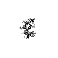 CC(C)C[C@H](NC(=O)[C@@H](Cc1ccccc1)NC(=O)[C@H](CCN)NC(=O)[C@H](CCN)NC(=O)[C@H](CCCCN)NC(=O)[C@@H](NC(=O)[C@@H](N)CCN)[C@@H](C)O)C(=O)N[C@@H](CCN)C(=O)N[C@@H](CCN)C(=O)N[C@H](C(=O)O)[C@@H](C)O